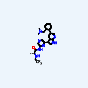 C[C@@H](NCC(F)(F)F)C(=O)Nc1cncc(-c2c[nH]c3ncc(-c4ccccc4CN(C)C)cc23)n1